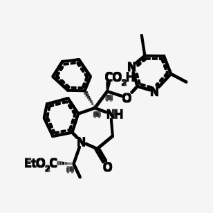 CCOC(=O)[C@@H](C)N1C(=O)CN[C@](c2ccccc2)([C@H](Oc2nc(C)cc(C)n2)C(=O)O)c2ccccc21